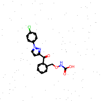 O=C(O)NOCc1ccccc1C(=O)c1ccn(-c2ccc(Cl)cc2)n1